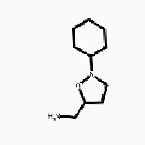 NCC1CCN(C2CCCCC2)O1